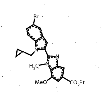 CCOC(=O)c1cc(OC)c2c(c1)nc(-c1cc3cc(Br)ccc3n1CC1CC1)n2C